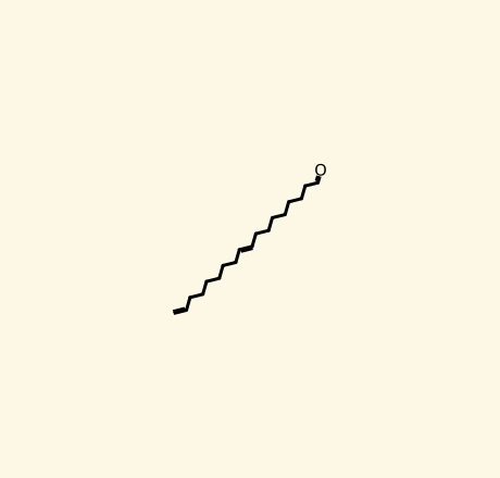 C=CCCCCCC/C=C/CCCCCCCC=O